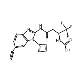 N#Cc1ccc2nc(NC(=O)CC(NC(=O)O)C(F)(F)F)n(C3=CC=C3)c2c1